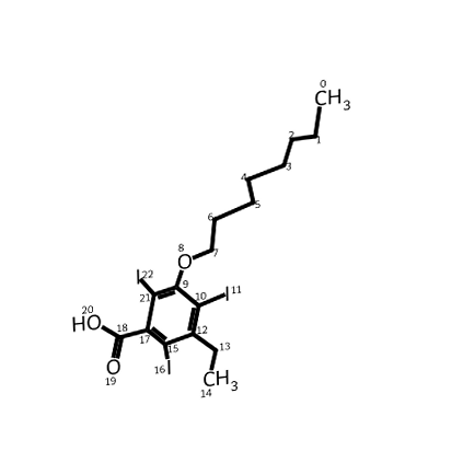 CCCCCCCCOc1c(I)c(CC)c(I)c(C(=O)O)c1I